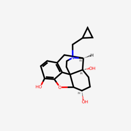 Oc1ccc2c3c1OC1[C@@H](O)CC[C@]4(O)[C@H](C2)N(CC2CC2)CCC314